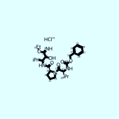 CCOC(=N)C(O)C(NC(=O)[C@@H]1CCCN1C(=O)[C@@H](NC(=O)OCc1ccccc1)C(C)C)C(C)C.Cl